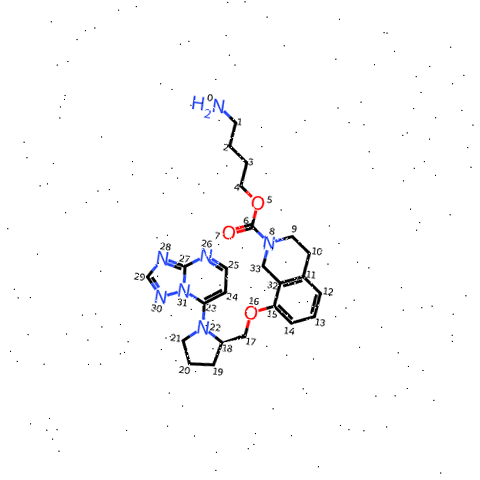 NCCCCOC(=O)N1CCc2cccc(OC[C@H]3CCCN3c3ccnc4ncnn34)c2C1